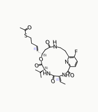 C/C=C1\NC(=O)c2ccc(F)c(n2)CCNC(=O)C[C@@H](/C=C/CCSC(C)=O)OC(=O)[C@H](C(C)C)NC1=O